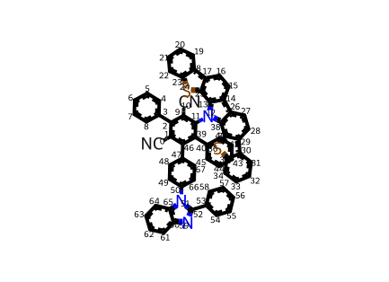 N#Cc1c(-c2ccccc2)c(C#N)c(-n2c3c(ccc4c5ccccc5sc43)c3ccc4c5ccccc5sc4c32)c(-c2ccccc2)c1-c1ccc(-n2c(-c3ccccc3)nc3ccccc32)cc1